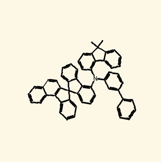 CC1(C)c2ccccc2-c2c(N(c3cccc(-c4ccccc4)c3)c3cccc4c3-c3ccccc3C43c4ccccc4-c4c3ccc3ccccc43)cccc21